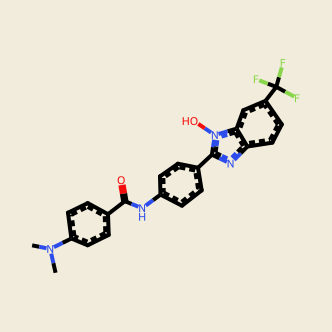 CN(C)c1ccc(C(=O)Nc2ccc(-c3nc4ccc(C(F)(F)F)cc4n3O)cc2)cc1